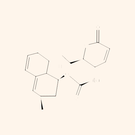 CC[C@H](C)C(=O)O[C@H]1C[C@@H](C)C=C2C=C[C@H](C)[C@H](CC[C@@H]3CC=CC(=O)O3)[C@H]21